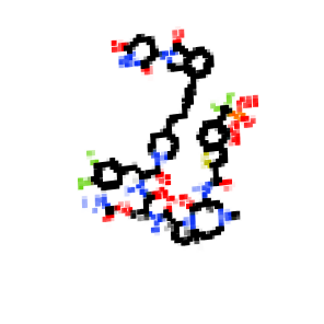 CN1CC[C@H]2CC[C@@H](C(=O)N[C@@H](COC(N)=O)C(=O)N[C@@H](Cc3ccc(F)c(F)c3)C(=O)N3CCC(CCC#Cc4cccc5c4CN(C4CCC(=O)NC4=O)C5=O)CC3)N2C(=O)[C@@H](NC(=O)c2cc3cc(C(F)(F)P(=O)(O)O)ccc3s2)C1